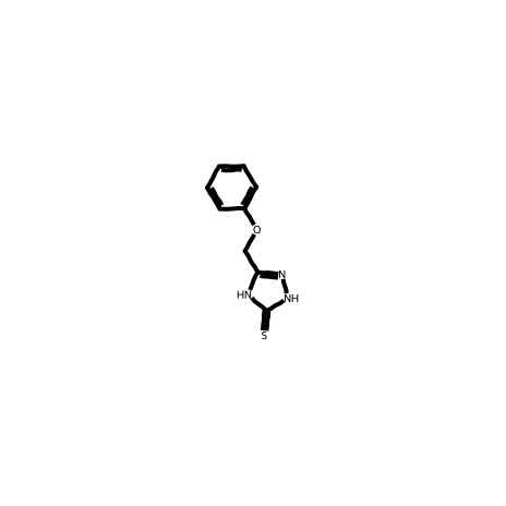 S=c1[nH]nc(COc2ccccc2)[nH]1